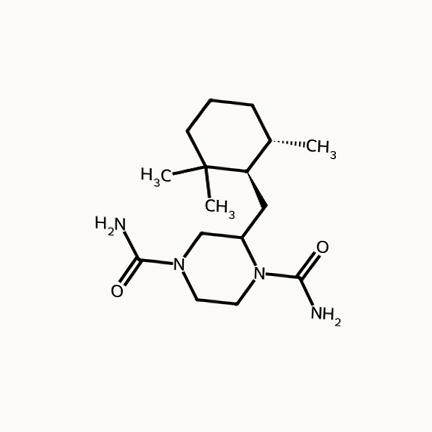 C[C@H]1CCCC(C)(C)[C@@H]1CC1CN(C(N)=O)CCN1C(N)=O